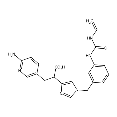 C=CNC(=O)Nc1cccc(Cn2cnc(C(Cc3ccc(N)nc3)C(=O)O)c2)c1